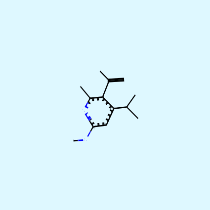 C=C(C)c1c(C(C)C)cc(NC)nc1C